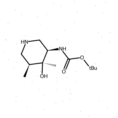 C[C@H]1CNC[C@@H](NC(=O)OC(C)(C)C)[C@@]1(C)O